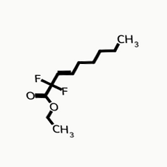 CCCCC/C=C/C(F)(F)C(=O)OCC